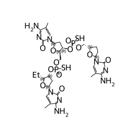 CC[C@H]1O[C@@H](n2cc(C)c(N)nc2=O)C[C@H]1OP(=O)(S)OC[C@H]1O[C@@H](n2cc(C)c(N)nc2=O)C[C@H]1OP(=O)(S)OC[C@@H]1CC[C@H](n2cc(C)c(N)nc2=O)O1